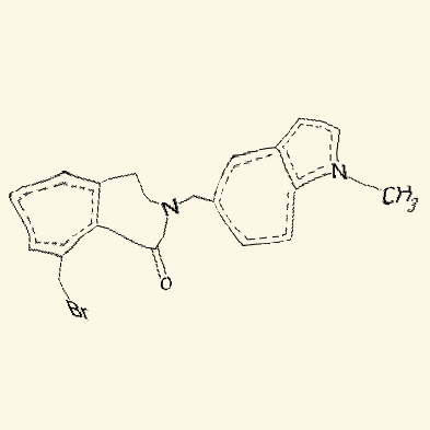 Cn1ccc2cc(N3Cc4cccc(Br)c4C3=O)ccc21